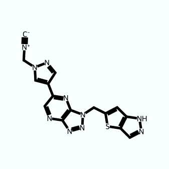 [C-]#[N+]Cn1cc(-c2cnc3nnn(Cc4cc5[nH]ncc5s4)c3n2)cn1